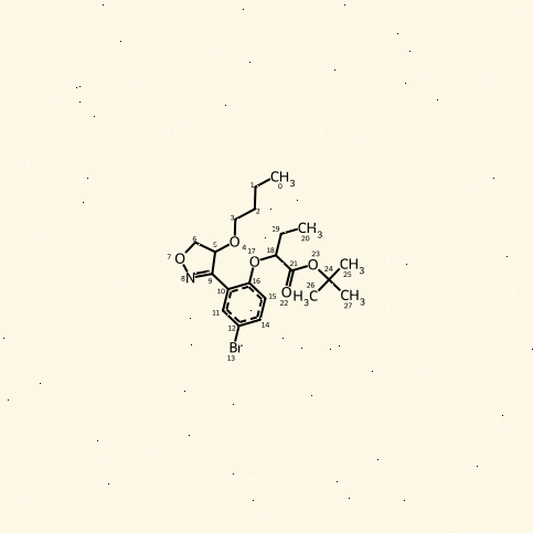 CCCCOC1CON=C1c1cc(Br)ccc1OC(CC)C(=O)OC(C)(C)C